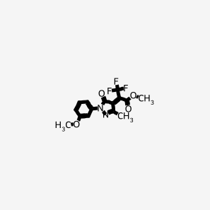 COC(=O)C(=C1C(=O)N(c2cccc(OC)c2)N=C1C)C(F)(F)F